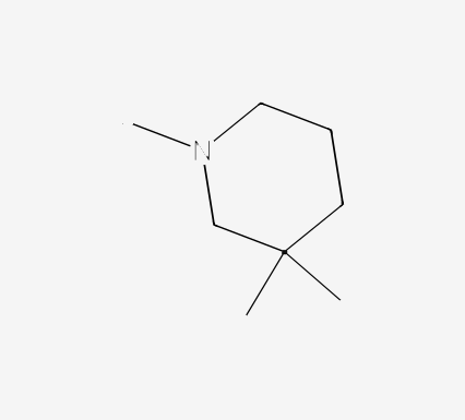 [CH2]N1CCCC(C)(C)C1